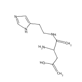 C=C(O)CC(N)C(=C)NCCc1cnc[nH]1